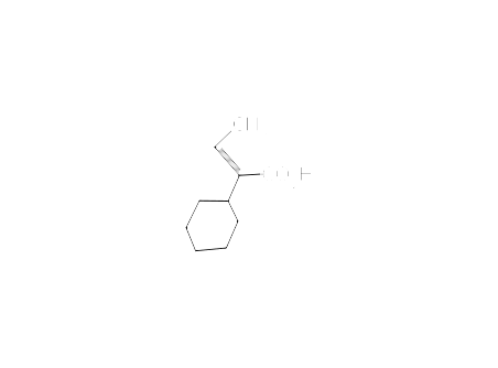 CC=C(C(=O)O)C1CCCCC1